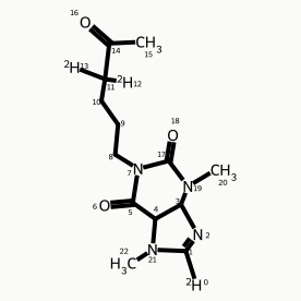 [2H]C1=NC2C(C(=O)N(CCCC([2H])([2H])C(C)=O)C(=O)N2C)N1C